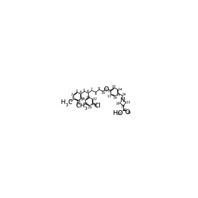 Cc1ccc(CC(CCCCOc2ccc(CN3CC(C(=O)O)C3)cc2)c2cccc(Cl)c2)cc1C